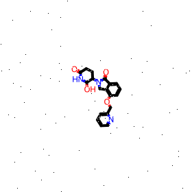 O=C1CCC(N2Cc3c(OCc4ccccn4)cccc3C2=O)C(O)N1